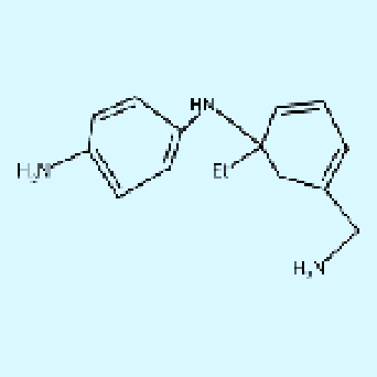 CCC1(Nc2ccc(N)cc2)C=CC=C(CN)C1